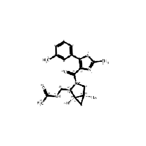 Cc1cccc(-c2sc(C)nc2C(=O)N2C[C@H]3C[C@H]3[C@H]2CNC(=O)C(F)(F)F)c1